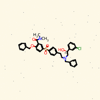 CN(C)C(=O)c1cc(S(=O)(=O)c2ccc(CCN(Cc3ccccc3)C[C@@H](O)c3cccc(Cl)c3)cc2)ccc1OCc1ccccc1